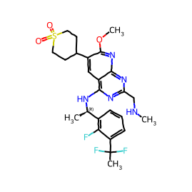 CNCc1nc(N[C@H](C)c2cccc(C(C)(F)F)c2F)c2cc(C3CCS(=O)(=O)CC3)c(OC)nc2n1